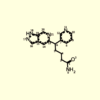 NC(=O)CCCC(c1cccnc1)c1cc2cn[nH]c2cn1